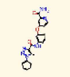 Cc1c(C(=O)Nc2cccc(Oc3ccnc(C(N)=O)c3)c2)nnn1-c1ccccc1